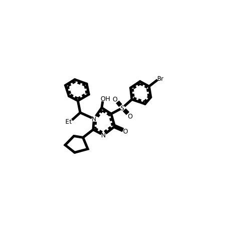 CCC(c1ccccc1)n1c(C2CCCC2)nc(=O)c(S(=O)(=O)c2ccc(Br)cc2)c1O